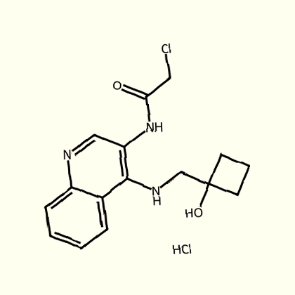 Cl.O=C(CCl)Nc1cnc2ccccc2c1NCC1(O)CCC1